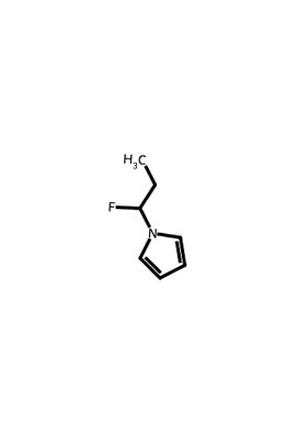 CCC(F)n1cccc1